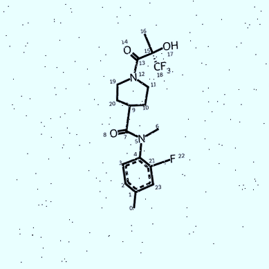 Cc1ccc(N(C)C(=O)C2CCN(C(=O)[C@@](C)(O)C(F)(F)F)CC2)c(F)c1